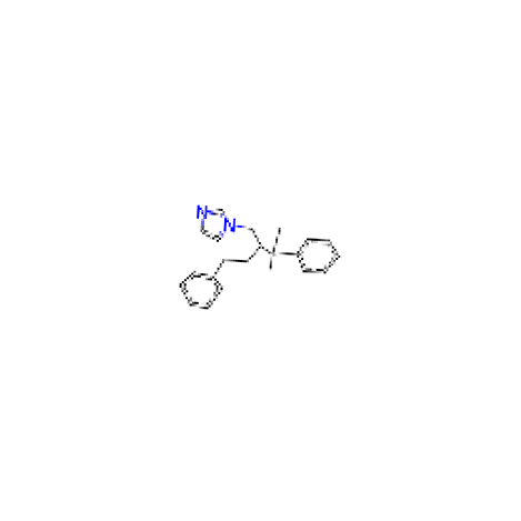 CC(C)(c1ccccc1)C(CCc1ccccc1)Cn1ccnc1